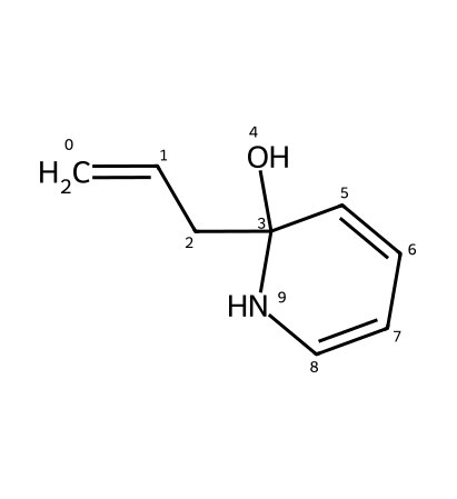 C=CCC1(O)C=CC=CN1